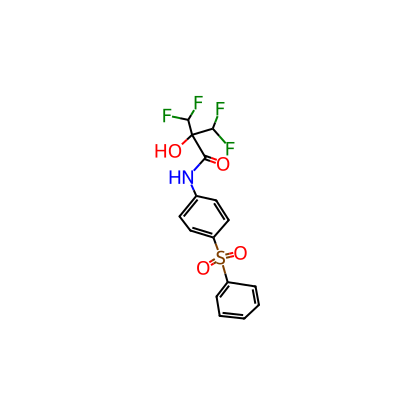 O=C(Nc1ccc(S(=O)(=O)c2ccccc2)cc1)C(O)(C(F)F)C(F)F